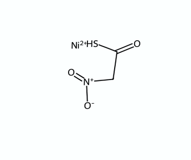 O=C(S)C[N+](=O)[O-].[Ni+2]